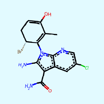 CC1=C(n2c(N)c(C(N)=O)c3cc(Cl)cnc32)[C@H](Br)CC=C1O